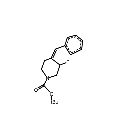 CC(C)(C)OC(=O)N1CCC(=Cc2ccccc2)C(F)C1